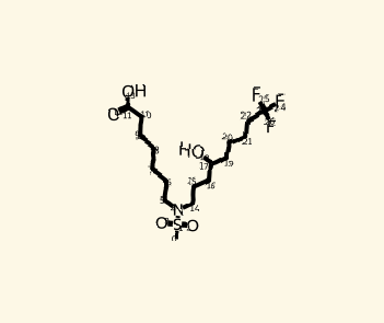 CS(=O)(=O)N(CCCCCCC(=O)O)CCCC(O)CCCCC(F)(F)F